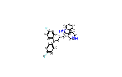 Fc1ccc(C(CCC[C@H]2Nc3ccccc3C23CCNCC3)c2ccc(F)cc2)cc1